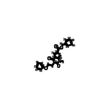 Cn1c(=O)n(CCOc2ccccc2)c(=O)c2cc(C(=O)OCc3ccccc3)sc21